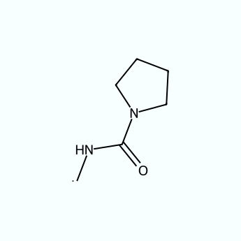 [CH2]NC(=O)N1CCCC1